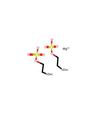 CCCCCCCCCCCCOS(=O)(=O)[O-].CCCCCCCCCCCCOS(=O)(=O)[O-].[Mg+2]